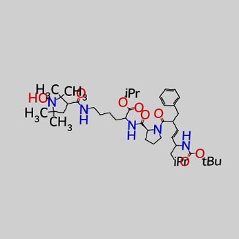 CC(C)CC(/C=C/C(Cc1ccccc1)C(=O)N1CCC[C@H]1C(=O)NC(CCCCNC(=O)C1CC(C)(C)N(O)C1(C)C)C(=O)OC(C)C)NC(=O)OC(C)(C)C